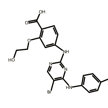 O=C(O)c1ccc(Nc2ncc(Br)c(Nc3ccc(F)cc3)n2)cc1OCCO